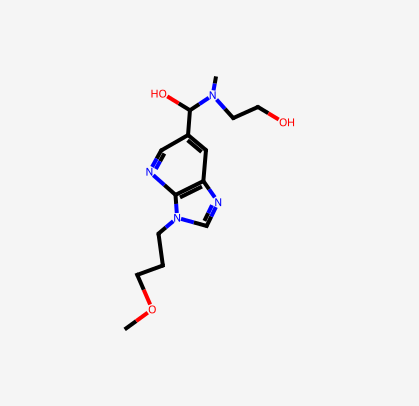 COCCCn1cnc2cc(C(O)N(C)CCO)cnc21